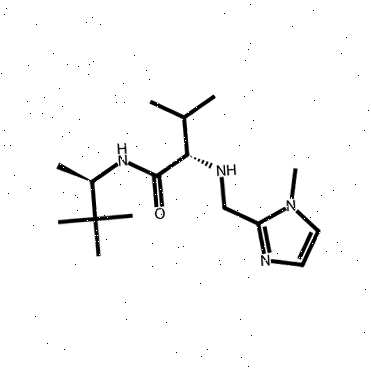 CC(C)[C@H](NCc1nccn1C)C(=O)N[C@H](C)C(C)(C)C